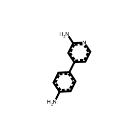 Nc1ccc(-c2ccnc(N)c2)cc1